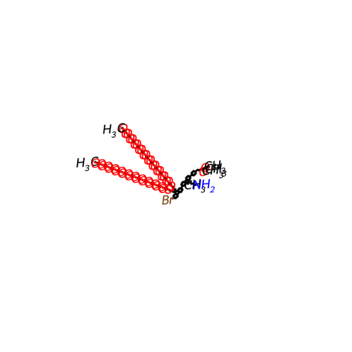 COCCOOCCOOCCOOCCOOCCOOCCOOCCOOCCOOCCOOCCOOCCOCCCC1(CCCOCCOOCCOOCCOOCCOOCCOOCCOOCCOOCCOOCCOOCCOOCCOC)c2cc(Br)ccc2-c2ccc(-c3ccc4c(c3)C(C)(CCCCN)c3cc(-c5ccc(CCCC(=O)OC(C)(C)C)cc5)ccc3-4)cc21